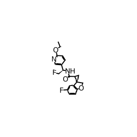 CCOc1ccc([C@H](CF)NC(=O)C2CC23COc2ccc(F)cc23)cn1